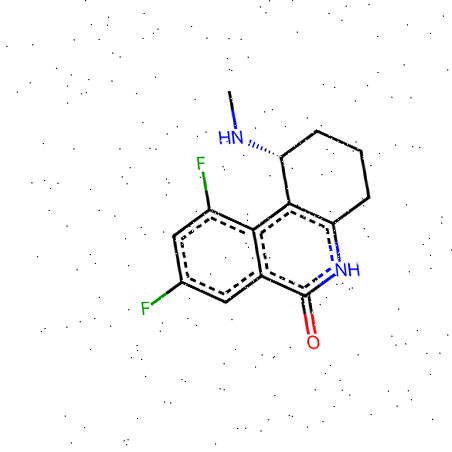 CN[C@@H]1CCCc2[nH]c(=O)c3cc(F)cc(F)c3c21